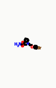 NC(=O)OC1CCN(CCCOc2ccc(Br)cc2)C2CCCCC12